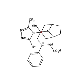 Cc1nnc(C(C)C)n1C1CC2CCC(C1)N2C(C[C@H](NC(=O)O)c1ccccc1)C(C)(C)C